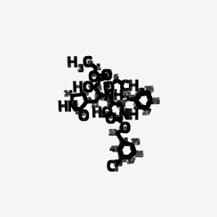 CCOP(=O)(OCC)C(O)[C@H](CC1CCNC1=O)NC(O)[C@H](Cc1ccccc1)NC(=O)OCc1cccc(Cl)c1